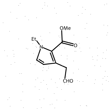 CCn1ccc(CC=O)c1C(=O)OC